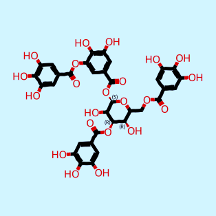 O=C(OCC1O[C@@H](OC(=O)c2cc(O)c(O)c(OC(=O)c3cc(O)c(O)c(O)c3)c2)C(O)[C@H](OC(=O)c2cc(O)c(O)c(O)c2)[C@@H]1O)c1cc(O)c(O)c(O)c1